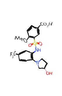 COc1ccc(C(=O)O)cc1S(=O)(=O)Nc1cc(C(F)(F)F)ccc1N1CC[C@H](O)C1